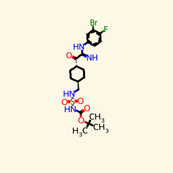 CC(C)(C)OC(=O)NS(=O)(=O)NC[C@H]1CC[C@H](C(=O)C(=N)Nc2ccc(F)c(Br)c2)CC1